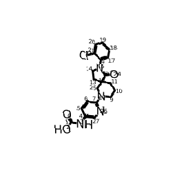 O=C(O)Nc1ccc(N2CCCC3(CCN(c4ccccc4Cl)C3=O)C2)nc1